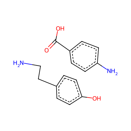 NCCc1ccc(O)cc1.Nc1ccc(C(=O)O)cc1